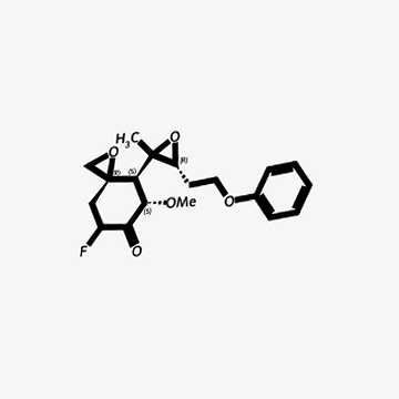 CO[C@@H]1C(=O)C(F)C[C@]2(CO2)[C@H]1C1(C)O[C@@H]1CCOc1ccccc1